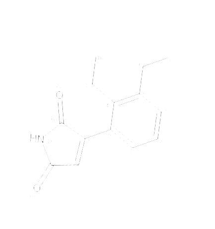 CCc1cccc(C2=CC(=O)NC2=O)c1CC